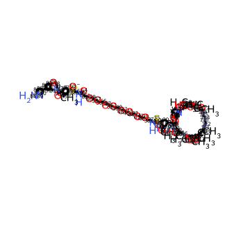 CO[C@H]1C[C@@H]2CC[C@@H](C)[C@@](O)(O2)C(=O)C(=O)N2CCCC[C@H]2C(=O)O[C@H]([C@H](N)C[C@@H]2CC[C@@H](OC(=S)NCCOCCOCCOCCOCCOCCOCCOCCOCCC(=O)NCC[S+]([O-])c3ccc(C(=O)N4CCOc5ccc(-c6ccc(N)nc6)cc5C4)c(C)c3)[C@H](OC)C2)C[C@@H](O)[C@H](C)/C=C(\C)[C@@H](O)[C@@H](OC)C(=O)[C@H](C)C[C@H](C)/C=C/C=C/C=C/1C